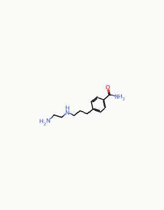 NCCNCCCc1ccc(C(N)=O)cc1